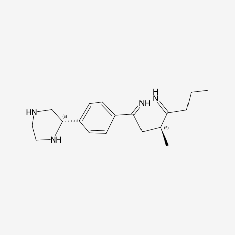 CCCC(=N)[C@@H](C)CC(=N)c1ccc([C@H]2CNCCN2)cc1